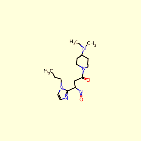 CCCn1ccnc1C(CC(=O)N1CCC(N(C)C)CC1)N=O